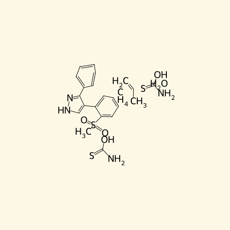 C.C=CC.CS(=O)(=O)c1ccccc1-c1c[nH]nc1-c1ccccc1.NC(O)=S.NC(O)=S.O